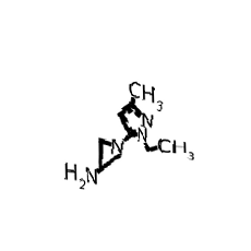 CCn1nc(C)cc1N1CC(N)C1